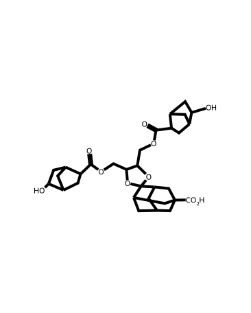 O=C(OCC1OC2(OC1COC(=O)C1CC3CC1CC3O)C1CC3CC2CC(C(=O)O)(C3)C1)C1CC2CC1CC2O